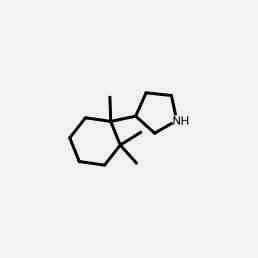 CC1(C)CCCCC1(C)C1CCNC1